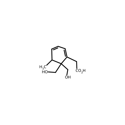 CC1C=CC=C(CC(=O)O)C1(CO)CO